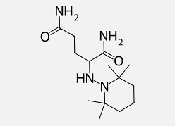 CC1(C)CCCC(C)(C)N1NC(CCC(N)=O)C(N)=O